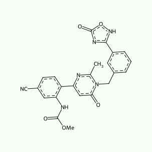 COC(=O)Nc1cc(C#N)ccc1-c1cc(=O)n(Cc2cccc(-c3nc(=O)o[nH]3)c2)c(C)n1